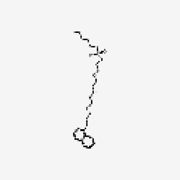 CCCCCOP(=O)(O)OCCOCCOCCOCCOc1cccc2ccccc12